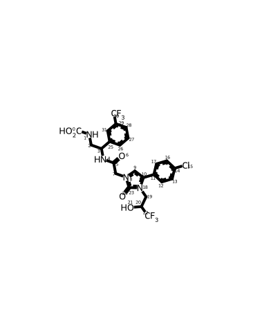 O=C(O)NCC(NC(=O)Cn1cc(-c2ccc(Cl)cc2)n(CC(O)C(F)(F)F)c1=O)c1cccc(C(F)(F)F)c1